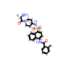 Cc1ccccc1C(=O)Nc1ccc(S(=O)(=O)NC2CCN(C(=O)[C@H](C)N)CC2)c2ccccc12